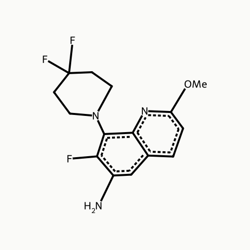 COc1ccc2cc(N)c(F)c(N3CCC(F)(F)CC3)c2n1